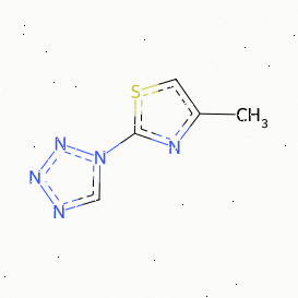 Cc1csc(-n2cnnn2)n1